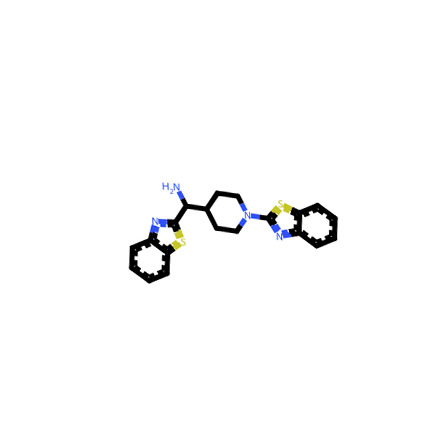 NC(c1nc2ccccc2s1)C1CCN(c2nc3ccccc3s2)CC1